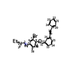 CCN(C)/C=N/c1cc(Br)c(OCc2cccc(C#Cc3ccccc3)c2)nc1C